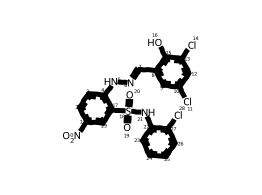 O=[N+]([O-])c1ccc(N/N=C/c2cc(Cl)cc(Cl)c2O)c(S(=O)(=O)Nc2ccccc2Cl)c1